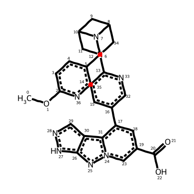 COc1ccc(CN2C3CC2CN(c2ccc(-c4cc(C(=O)O)cn5nc6[nH]ncc6c45)cn2)C3)cn1